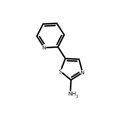 Nc1ncc(-c2ccccn2)s1